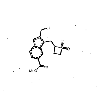 COC(=O)c1ccc2cc(CCl)n(CC3CCS3(=O)=O)c2c1